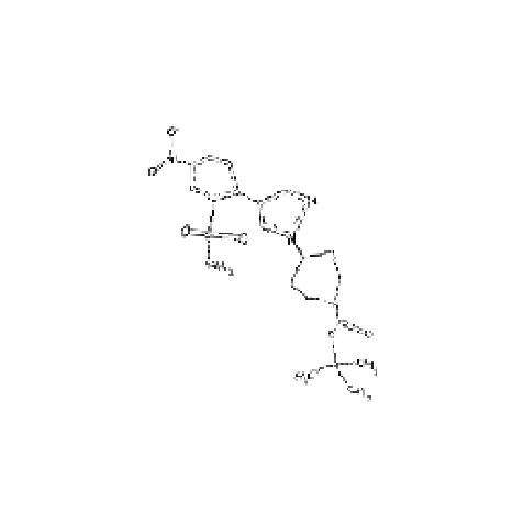 CC(C)(C)OC(=O)N1CCC(n2cc(-c3ccc([N+](=O)[O-])cc3S(N)(=O)=O)cn2)CC1